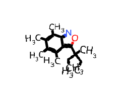 CCC(C)(CC)c1onc2c(C)c(C)c(C)c(C)c12